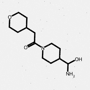 NC(O)C1CCN(C(=O)CC2CCOCC2)CC1